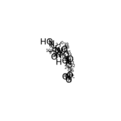 CCCc1c(/C=N/O)c(CC)c2c(=O)[nH]c(-c3cc(S(=O)(=O)N4CCC(CCO[N+](=O)[O-])CC4)ccc3OCC)nn12